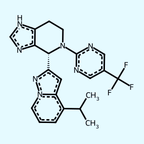 CC(C)c1cccn2nc([C@@H]3c4nc[nH]c4CCN3c3ncc(C(F)(F)F)cn3)cc12